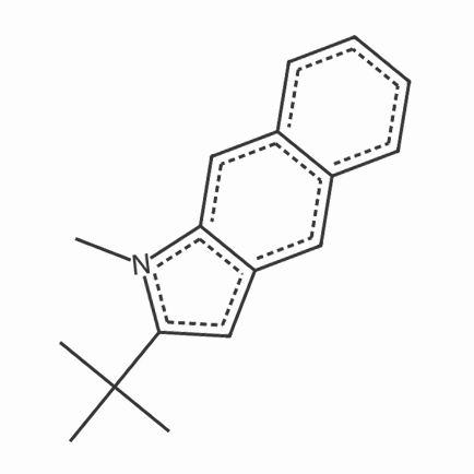 Cn1c(C(C)(C)C)cc2cc3ccccc3cc21